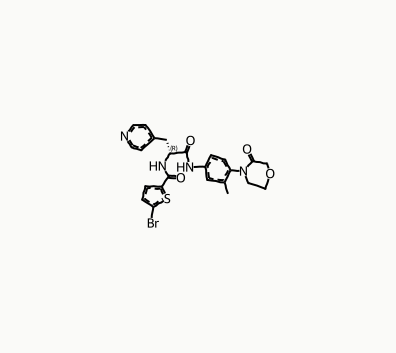 Cc1cc(NC(=O)[C@@H](Cc2ccncc2)NC(=O)c2ccc(Br)s2)ccc1N1CCOCC1=O